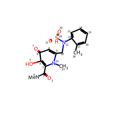 CNC(=O)c1c(O)c(=O)cc(CN(c2ccccc2C)[SH](=O)=O)n1C